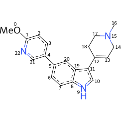 COc1ccc(-c2ccc3[nH]cc(C4=CCN(C)CC4)c3c2)cn1